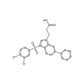 O=C(O)CCc1cn(S(=O)(=O)c2ccc(Cl)c(Cl)c2)c2ccc(-c3cccnc3)cc12